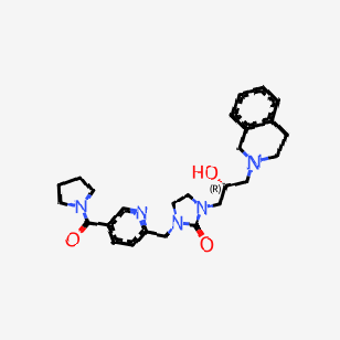 O=C(c1ccc(CN2CCN(C[C@H](O)CN3CCc4ccccc4C3)C2=O)nc1)N1CCCC1